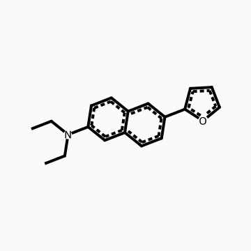 CCN(CC)c1ccc2cc(-c3ccco3)ccc2c1